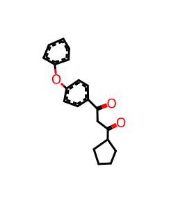 O=C(CC(=O)C1CCCC1)c1ccc(Oc2ccccc2)cc1